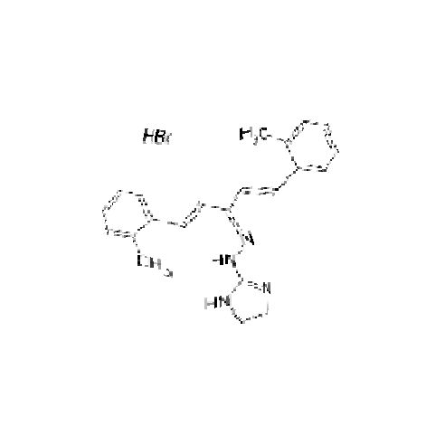 Br.Cc1ccccc1/C=C/C(/C=C/c1ccccc1C)=NNC1=NCCN1